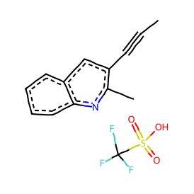 CC#Cc1cc2ccccc2nc1C.O=S(=O)(O)C(F)(F)F